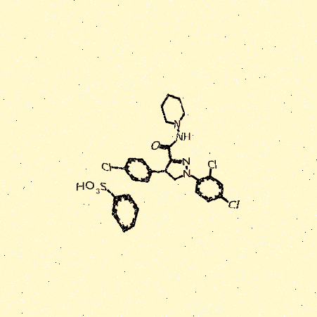 O=C(NN1CCCCC1)C1=NN(c2ccc(Cl)cc2Cl)CC1c1ccc(Cl)cc1.O=S(=O)(O)c1ccccc1